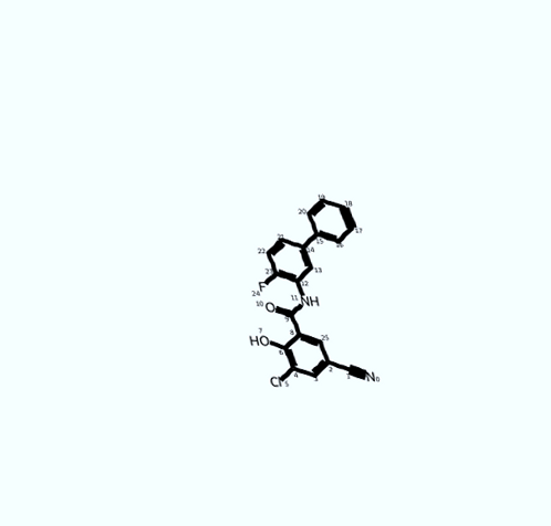 N#Cc1cc(Cl)c(O)c(C(=O)Nc2cc(-c3cc#ccc3)ccc2F)c1